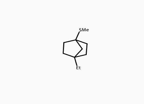 CCC12CCC(SC)(CC1)C2